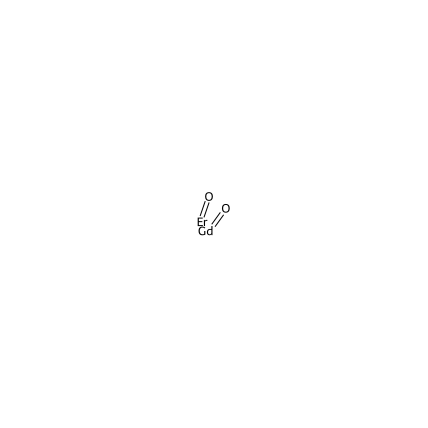 [O]=[Er].[O]=[Gd]